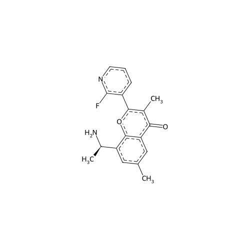 Cc1cc([C@@H](C)N)c2oc(-c3cccnc3F)c(C)c(=O)c2c1